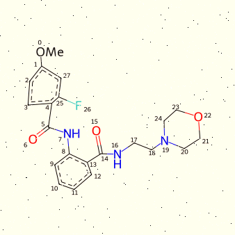 COc1ccc(C(=O)Nc2ccccc2C(=O)NCCN2CCOCC2)c(F)c1